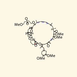 COCCS(=O)(=O)CCO[C@H]1C[C@@H]2CC[C@@H](C)[C@@](O)(O2)C(=O)C(=O)N2CCCC[C@H]2C(=O)O[C@H]([C@H](C)C[C@@H]2CC[C@@H](OC)[C@H](OC)C2)CC(=O)[C@H](C)/C=C(\C)[C@@H](OC)[C@@H](OC)C(=O)[C@H](C)C[C@H](C)/C=C/C=C/C=C/1C